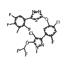 Cc1c(F)c(F)cc(-c2nnc(Oc3cc(-c4nn(C)c(OC(F)F)c4Cl)c(F)cc3Cl)s2)c1F